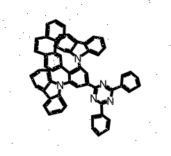 c1ccc(-c2nc(-c3ccccc3)nc(-c3cc(-n4c5ccccc5c5ccccc54)c(-c4ccc5ccc6ccccc6c5c4)c(-n4c5ccccc5c5ccccc54)c3)n2)cc1